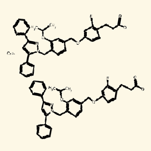 CC(C)Oc1cc(COc2ccc(CCC(=O)[O-])c(F)c2)ccc1Cn1nc(-c2ccccc2)cc1-c1ccccc1.CC(C)Oc1cc(COc2ccc(CCC(=O)[O-])c(F)c2)ccc1Cn1nc(-c2ccccc2)cc1-c1ccccc1.[Ca+2]